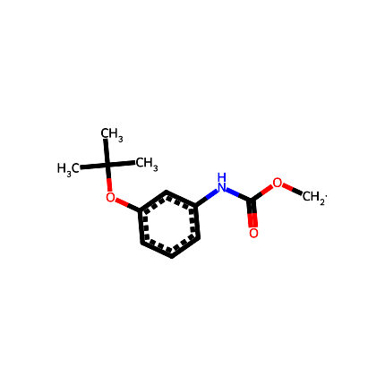 [CH2]OC(=O)Nc1cccc(OC(C)(C)C)c1